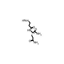 CCCCCCCCCCCC(=O)N[C@@H](CCC(N)=O)C(N)=O